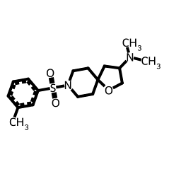 Cc1cccc(S(=O)(=O)N2CCC3(CC2)CC(N(C)C)CO3)c1